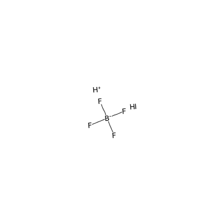 F[B-](F)(F)F.I.[H+]